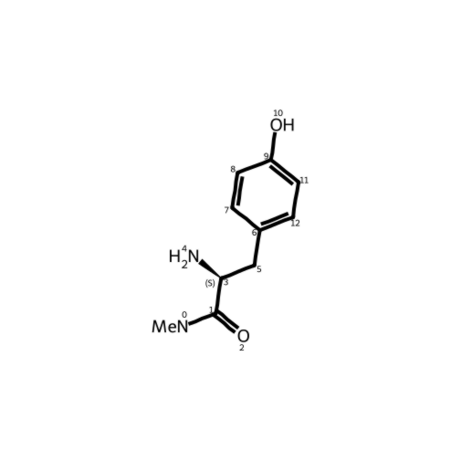 CNC(=O)[C@@H](N)Cc1ccc(O)cc1